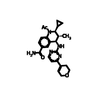 CC(=O)N1c2ccc(C(N)=O)cc2[C@H](Nc2nccc(C3=CCOCC3)n2)[C@@H](C)[C@@H]1C1CC1